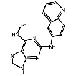 CC(C)Nc1nc(Nc2ccc3ncccc3c2)nc2[nH]cnc12